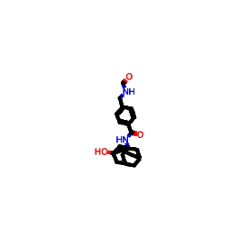 O=CNCc1ccc(C(=O)NC23CC4CC(CC(O)(C4)C2)C3)cc1